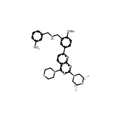 COc1ccc(-c2ccc3c(N4CCOCC4)nc(N4C[C@@H](C)O[C@@H](C)C4)nc3n2)cc1CNCc1cccc([N+](=O)[O-])c1